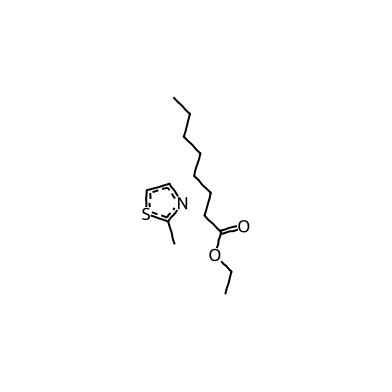 CCCCCCCC(=O)OCC.Cc1nccs1